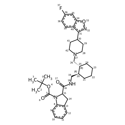 CC(C)(C)OC(=O)N1c2ccccc2CC1C(=O)NC[C@@H]1CCCC[C@H]1CN1CCC(c2noc3cc(F)ccc23)CC1